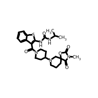 CC(C)NC(=O)Nc1sc2ccccc2c1C(=O)N1CCC(N2CCCC3(C2)OC(=O)N(C)C3=O)CC1